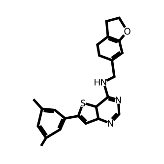 Cc1cc(C)cc(C2=CC3N=CN=C(NCC4=CC5=C(CCO5)CC4)C3S2)c1